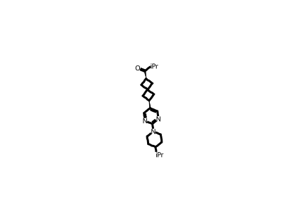 CC(C)C(=O)[C@H]1CC2(C1)C[C@H](c1cnc(N3CCC(C(C)C)CC3)nc1)C2